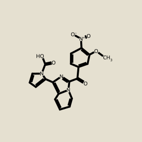 COc1cc(C(=O)c2nc(-c3cccn3C(=O)O)c3ccccn23)ccc1[N+](=O)[O-]